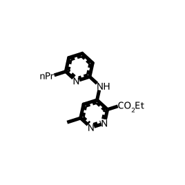 CCCc1cccc(Nc2cc(C)nnc2C(=O)OCC)n1